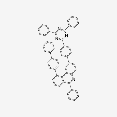 c1ccc(-c2ccc(-c3cccc4c(-c5ccccc5)nc5ccc(-c6ccc(-c7nc(-c8ccccc8)nc(-c8ccccc8)n7)cc6)cc5c34)cc2)cc1